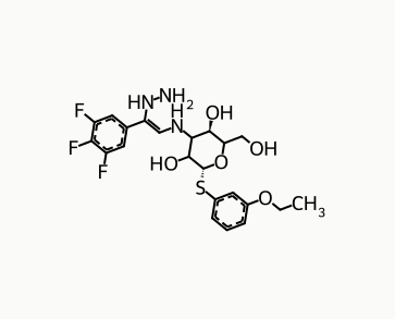 CCOc1cccc(S[C@H]2OC(CO)[C@H](O)C(N/C=C(\NN)c3cc(F)c(F)c(F)c3)C2O)c1